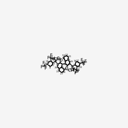 COc1c([C@H](O)c2ccc(C(F)(F)F)cc2C(F)(F)F)cc2ccccc2c1-c1c(OC)c([C@H](O)c2ccc(C(F)(F)F)cc2C(F)(F)F)cc2ccccc12